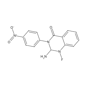 NC1N(F)c2ccccc2C(=O)N1c1ccc([N+](=O)[O-])cc1